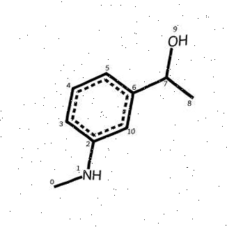 CNc1cccc(C(C)O)c1